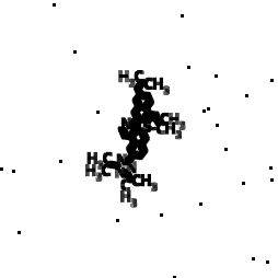 CC(C)Cc1ccc2c(CC(C)(C)C)c3c(cc2c1)-c1nccc2c1c(cc1ccc(-c4nc(C(C)C)nc(C(C)C)n4)cc12)S3